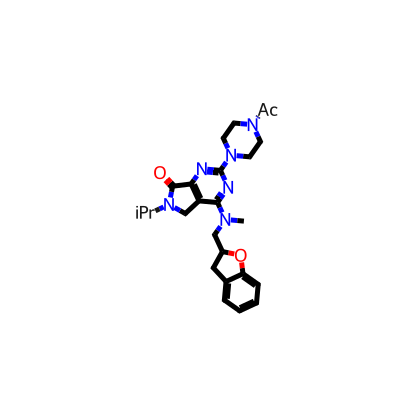 CC(=O)N1CCN(c2nc3c(c(N(C)CC4Cc5ccccc5O4)n2)CN(C(C)C)C3=O)CC1